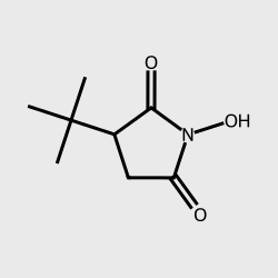 CC(C)(C)C1CC(=O)N(O)C1=O